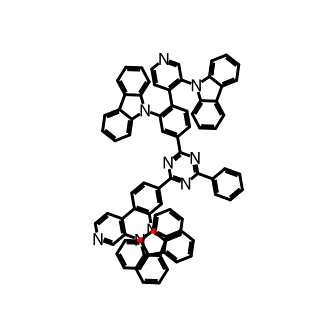 c1ccc(-c2nc(-c3ccc(-c4ccncc4-n4c5ccccc5c5ccccc54)c(-n4c5ccccc5c5ccccc54)c3)nc(-c3ccc(-c4ccncc4-n4c5ccccc5c5ccccc54)c(-n4c5ccccc5c5ccccc54)c3)n2)cc1